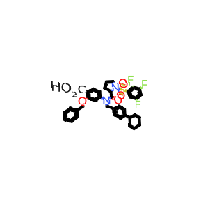 O=C(O)c1ccc(N(Cc2ccc(C3CCCCC3)cc2)C(=O)C2CCCN2S(=O)(=O)c2cc(F)cc(F)c2F)cc1OCc1ccccc1